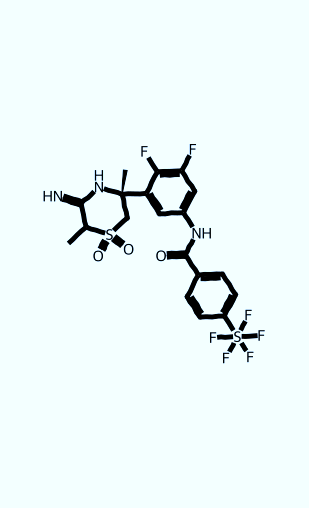 CC1C(=N)N[C@](C)(c2cc(NC(=O)c3ccc(S(F)(F)(F)(F)F)cc3)cc(F)c2F)CS1(=O)=O